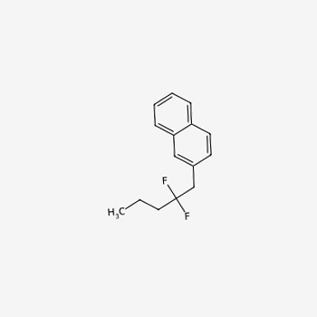 CCCC(F)(F)Cc1ccc2ccccc2c1